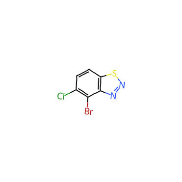 Clc1ccc2snnc2c1Br